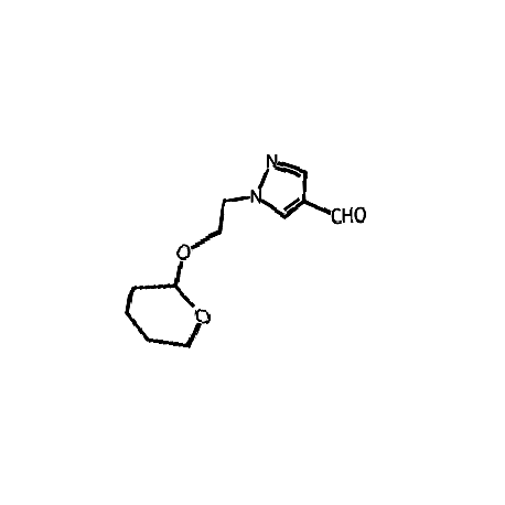 O=Cc1cnn(CCOC2CCCCO2)c1